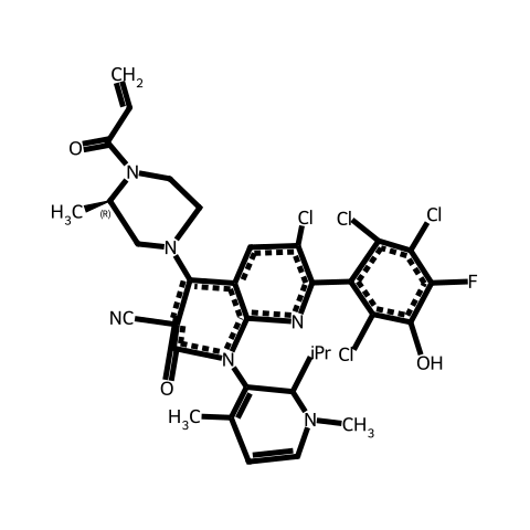 C=CC(=O)N1CCN(c2c(C#N)c(=O)n(C3=C(C)C=CN(C)C3C(C)C)c3nc(-c4c(Cl)c(O)c(F)c(Cl)c4Cl)c(Cl)cc23)C[C@H]1C